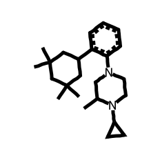 CC1CN(c2ccccc2C2CC(C)(C)CC(C)(C)C2)CCN1C1CC1